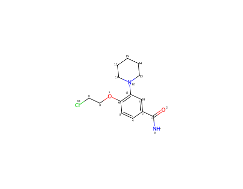 [NH]C(=O)c1ccc(OCCCl)c(N2CCCCC2)c1